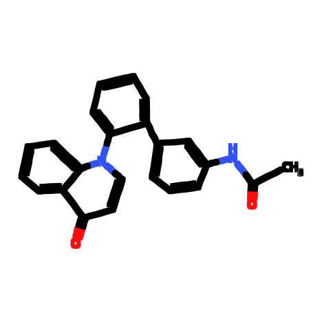 CC(=O)Nc1cccc(-c2ccccc2-n2ccc(=O)c3ccccc32)c1